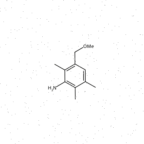 COCc1cc(C)c(C)c(N)c1C